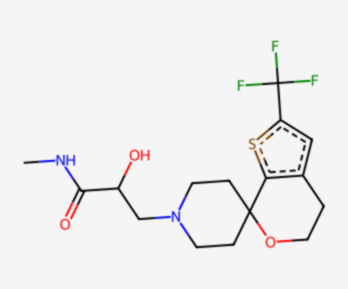 CNC(=O)C(O)CN1CCC2(CC1)OCCc1cc(C(F)(F)F)sc12